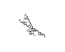 NC(=O)NC(COCCCNCF)(COCCCNCF)COCCCNCF